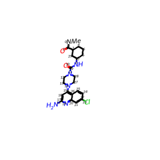 CNC(=O)C1CCCC(NC(=O)N2CCN(c3cc(N)nc4cc(Cl)ccc34)CC2)C1